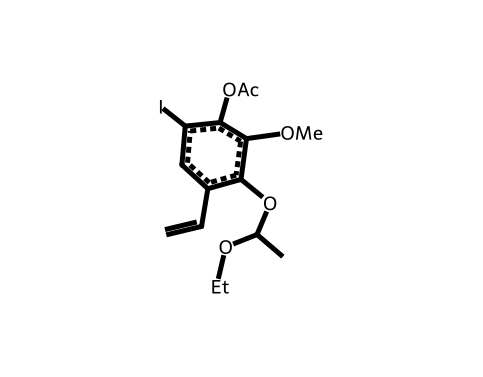 C=Cc1cc(I)c(OC(C)=O)c(OC)c1OC(C)OCC